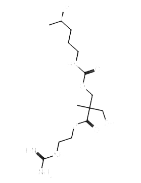 CC(C)[C@H](C)CCCNC(=O)OCC(C)(CO)C(=O)OCCNC(=N)N